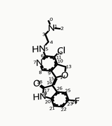 CN(C)CCNc1ncc2c(c1Cl)COC2=C1C(=O)Nc2ccc(F)cc21